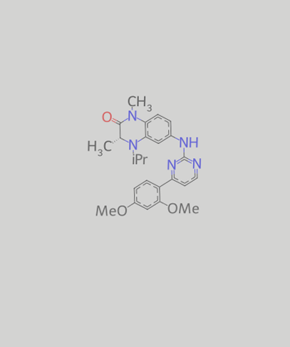 COc1ccc(-c2ccnc(Nc3ccc4c(c3)N(C(C)C)[C@H](C)C(=O)N4C)n2)c(OC)c1